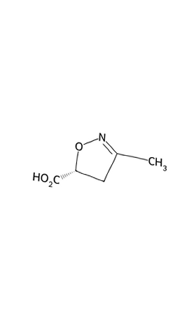 CC1=NO[C@@H](C(=O)O)C1